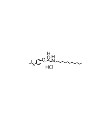 CCCCCCCCCCCCNCC(O)COc1ccc(SC(C)C)cc1.Cl